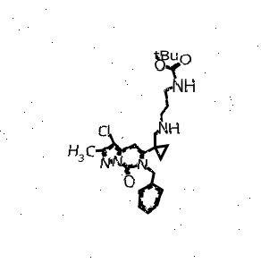 Cc1nn2c(=O)n(Cc3ccccc3)c(C3(CNCCCNC(=O)OC(C)(C)C)CC3)cc2c1Cl